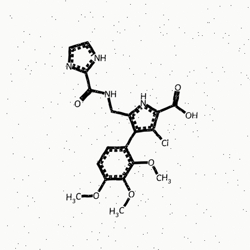 COc1ccc(-c2c(CNC(=O)c3ncc[nH]3)[nH]c(C(=O)O)c2Cl)c(OC)c1OC